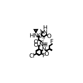 C=C(CCF)C(=O)Nc1c(F)cc(Cl)cc1C(=O)N[C@@H](C[C@@H]1C[C@@H](C)NC1=O)C(=O)C(=O)NC1CC1